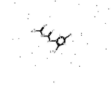 CCOC(=O)c1nc(Br)sc1NC(=O)NC(=O)C(Cl)(Cl)Cl